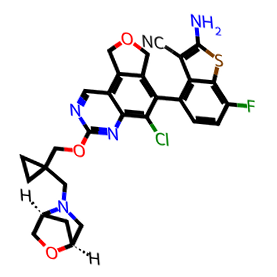 N#Cc1c(N)sc2c(F)ccc(-c3c4c(c5cnc(OCC6(CN7C[C@@H]8C[C@H]7CO8)CC6)nc5c3Cl)COC4)c12